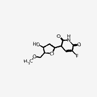 COCC1OC(C2C=C(F)C(=O)NC2=O)CC1O